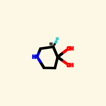 OC1(O)CCNC[C@@H]1F